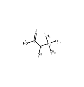 C[N+](C)(C)C(S)C(=O)O